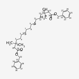 CC(C)(CCCSCCCSCCCC(C)(C)CC(=O)OCc1ccccc1)CC(=O)OCc1ccccc1